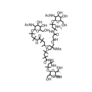 CNC(CONCC(=O)NC(C)(N)CC(C)(C)OC1OC(CO)C(O)C(O)C1NC(C)=O)(COC(C)CC(C)(C)C(=O)NC(C)(C)CC(C)(C)OC1OC(CO)C(O)C(O)C1NC(C)=O)COC(C)(C)CC(C)(C)C(=O)NC(C)(N)CC(C)(C)OC(OC(CO)[C@@H](C)O)[C@H](CO)NC(C)=O